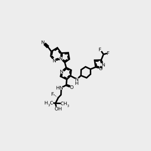 CC(C)(O)[C@H](F)CNC(=O)c1cnc(-c2ccc3cc(C#N)cnn23)cc1NC1CCC(c2cc(C(F)F)no2)CC1